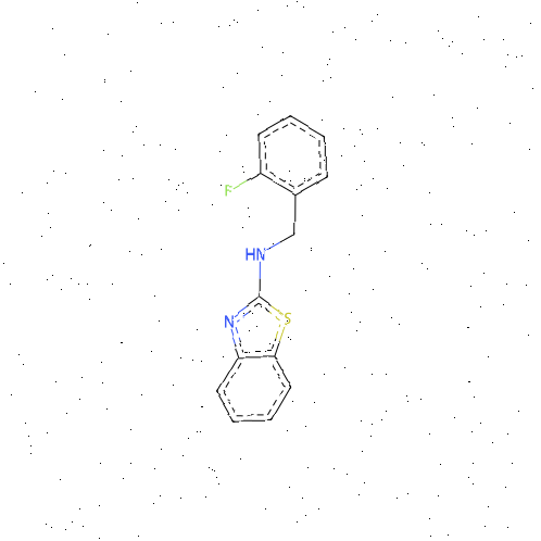 Fc1ccccc1CNc1nc2ccccc2s1